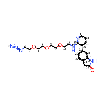 [N-]=[N+]=NCCOCCOCCOCCNc1ncccc1-c1ccc2c(c1)NC(=O)C2